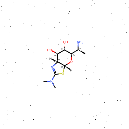 C[C@H](N)[C@H]1O[C@@H]2SC(N(C)C)=N[C@@H]2[C@@H](O)[C@@H]1O